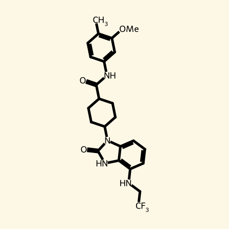 COc1cc(NC(=O)C2CCC(n3c(=O)[nH]c4c(NCC(F)(F)F)cccc43)CC2)ccc1C